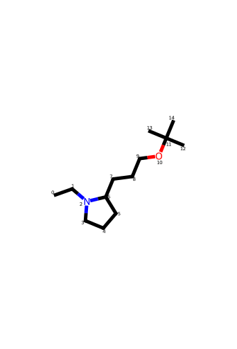 CCN1CCCC1CCCOC(C)(C)C